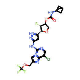 O=C(NC12CC(C1)C2)O[C@H]1CO[C@@H](c2cc(Nc3ncc(Cl)c4nc(COC(F)(F)F)cn34)n[nH]2)[C@@H]1F